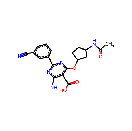 CC(=O)NC1CCC(Oc2nc(-c3cccc(C#N)c3)nc(N)c2C(=O)O)C1